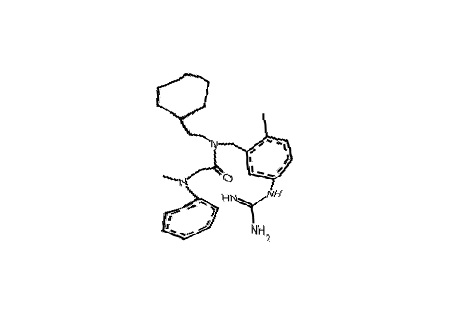 Cc1ccc(NC(=N)N)cc1CN(CC1CCCCC1)C(=O)N(C)c1ccccc1